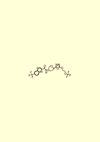 O=C(N[C@H]1CC[C@H](c2nnc(OCCOC(F)(F)F)o2)OC1)c1cnc2cc(C(F)(F)F)ccc2n1